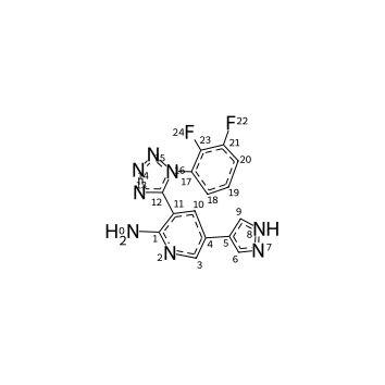 Nc1ncc(-c2cn[nH]c2)cc1-c1nnnn1-c1cccc(F)c1F